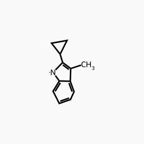 CC1=C(C2CC2)[N]c2ccccc21